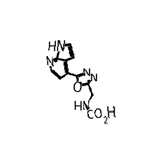 O=C(O)NCc1nnc(-c2ccnc3[nH]ccc23)o1